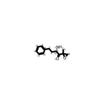 CC1(C(=O)[C@@H](N)CCc2ccccc2)CO1